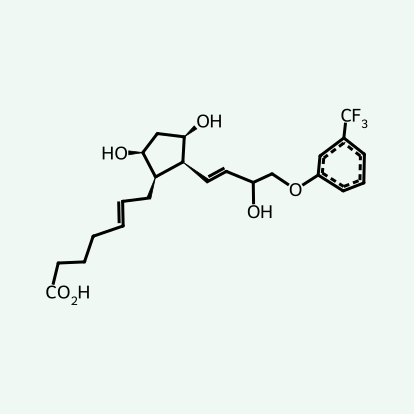 O=C(O)CCC/C=C/C[C@@H]1[C@H](/C=C/C(O)COc2cccc(C(F)(F)F)c2)[C@H](O)C[C@@H]1O